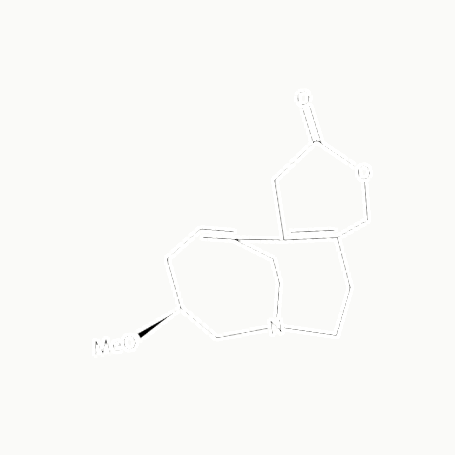 CO[C@H]1C/C=C2/CCN(CCC3=C2CC(=O)OC3)C1